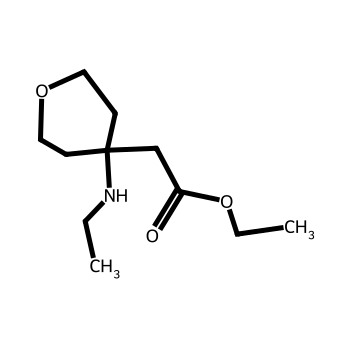 CCNC1(CC(=O)OCC)CCOCC1